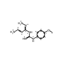 COc1ccc(NC(=N)NC(N=NN)=NN)cc1